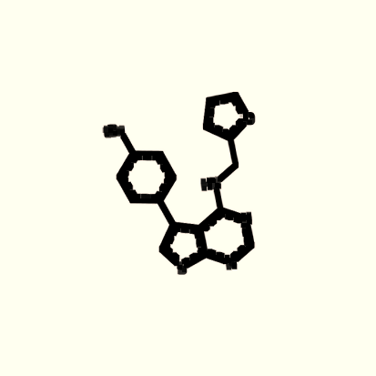 CC(C)(C)c1ccc(-c2csc3ncnc(NCc4ccco4)c23)cc1